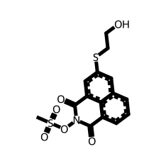 CS(=O)(=O)ON1C(=O)c2cccc3cc(SCCO)cc(c23)C1=O